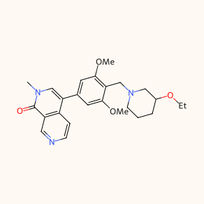 CCOC1CCCN(Cc2c(OC)cc(-c3cn(C)c(=O)c4cnccc34)cc2OC)C1